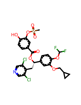 CS(=O)(=O)Oc1cc(C(=O)O[C@@H](Cc2c(Cl)cncc2Cl)c2ccc(OC(F)F)c(OCC3CC3)c2)ccc1O